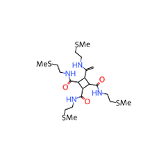 C=C(NCCSC)C1C(C(=O)NCCSC)C(C(=O)NCCSC)C1C(=O)NCCSC